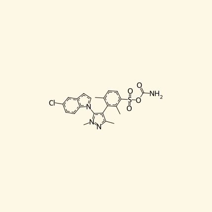 Cc1ccc(S(=O)(=O)OC(N)=O)c(C)c1-c1c(C)nn(C)c1-n1ccc2cc(Cl)ccc21